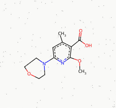 COc1nc(N2CCOCC2)cc(C)c1C(=O)O